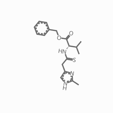 Cc1nc(CC(=S)N[C@H](C(=O)OCc2ccccc2)C(C)C)c[nH]1